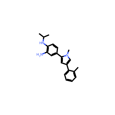 Cc1ccccc1-c1cc(-c2ccc(NC(C)C)c(N)c2)n(C)c1